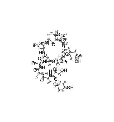 CC(C)C[C@@H]1NC(=O)[C@@H](NC(=O)[C@@H](NC(=O)[C@H](C)NC(=O)[C@H](CCCc2ccc(O)cc2)NC(=O)[C@H](O)CO)C(C)C)[C@@H](C)OC(=O)[C@H](C(C)C)NC(=O)[C@H](Cc2ccc(O)c(Br)c2)N(C)C(=O)[C@@H]2[C@H](C)O[C@@H]3CC[C@H](NC1=O)C(=O)N23